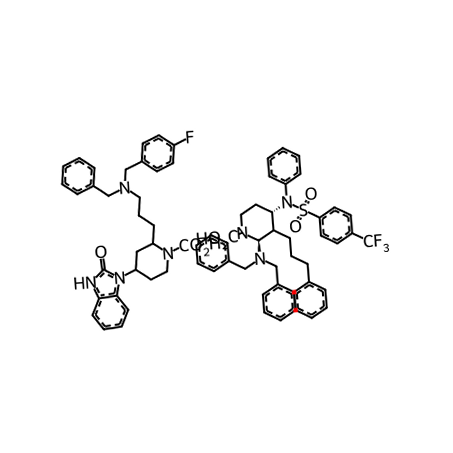 O=C(O)N1CCC(n2c(=O)[nH]c3ccccc32)CC1CCCN(Cc1ccccc1)Cc1ccc(F)cc1.O=C(O)N1CC[C@H](N(c2ccccc2)S(=O)(=O)c2ccc(C(F)(F)F)cc2)C(CCCc2ccccc2)[C@H]1N(Cc1ccccc1)Cc1ccccc1